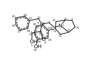 O=C(CO)N(CCN1C2CCC1CC(c1cccc(O)c1)C2)Cc1ccccc1